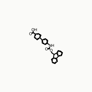 O=C(Nc1ccc(-c2ccc(C(=O)O)cc2)cc1)OCC1c2ccccc2-c2ccccc21